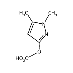 Cc1cc(OC(=O)O)nn1C